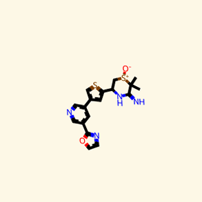 CC1(C)C(=N)NC(c2cc(-c3cncc(-c4ncco4)c3)cs2)C[S+]1[O-]